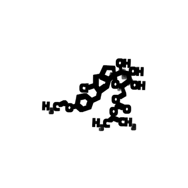 CCOc1ccc(Cc2cc3c(cc2Cl)CC[C@@]32O[C@H](COC(=O)OC(C)C)[C@@H](O)[C@H](O)[C@H]2O)cc1